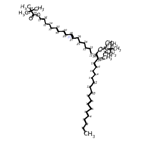 CCCCCCCCCCCCCCCCCC[C@H](C)[C@H](CCCCCC/C=C/CCCCCCCCCOC(=O)C(C)(C)C)O[Si](C)(C)C(C)(C)C